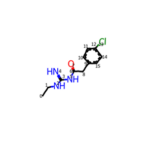 CCNC(=N)NC(=O)Cc1ccc(Cl)cc1